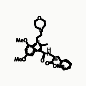 COC(=O)[C@H](Cc1ccccc1)NC(=O)c1c(C)n(CCN2CCOCC2)c2c(OC)cc(OC)cc12